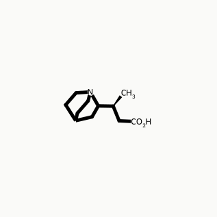 C[C@@H](CC(=O)O)C1CC2CCN1CC2